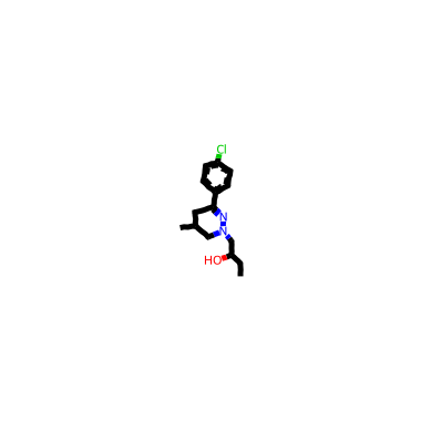 CCC(O)CN1CC(C)CC(c2ccc(Cl)cc2)=N1